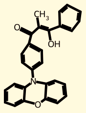 CC(C(=O)c1ccc(N2c3ccccc3Oc3ccccc32)cc1)=C(O)c1ccccc1